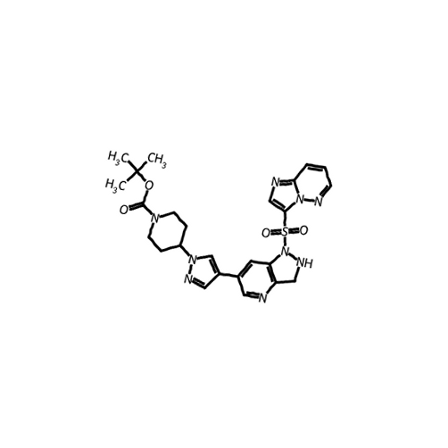 CC(C)(C)OC(=O)N1CCC(n2cc(-c3cnc4c(c3)N(S(=O)(=O)c3cnc5cccnn35)NC4)cn2)CC1